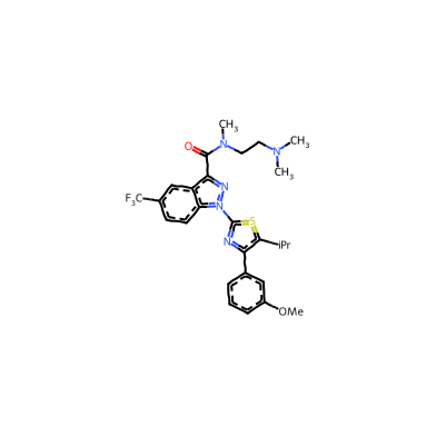 COc1cccc(-c2nc(-n3nc(C(=O)N(C)CCN(C)C)c4cc(C(F)(F)F)ccc43)sc2C(C)C)c1